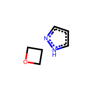 C1COC1.c1cn[nH]c1